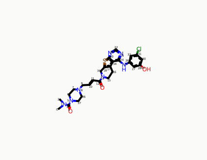 CN(C)C(=O)N1CCN(CC=CC(=O)N2CCc3c(sc4ncnc(Nc5cc(O)cc(Cl)c5)c34)C2)CC1